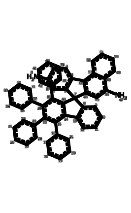 Nc1ccc2c(c1)C1(c3ccccc3-c3c(-c4ccccc4)c(-c4ccccc4)c(-c4ccccc4)c(-c4ccccc4)c31)c1cc(N)c3ccccc3c1-2